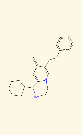 C=C1C=C2C(C3CCCCC3)NCCN2C=C1CCc1ccccc1